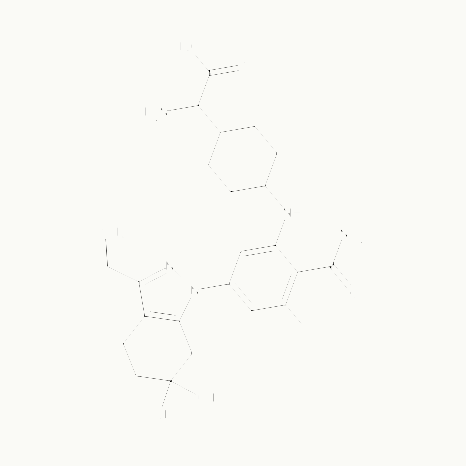 CCc1nn(-c2cc(F)c(C(N)=O)c(NC3CCC(C(N)C(=O)O)CC3)c2)c2c1CCC(C)(C)C2